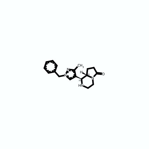 Cc1nn(Cc2ccccc2)cc1[C@@H]1NCCN2C(=O)CC[C@@H]12